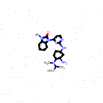 CCCCCCCCC(C)N(C)c1ccc(Nc2nccc(-n3c(=O)n(C(C)C)c4ccccc43)n2)cc1N